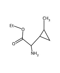 CCOC(=O)C(N)C1CC1C